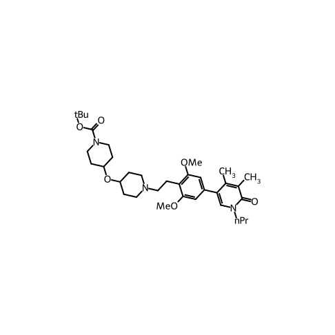 CCCn1cc(-c2cc(OC)c(CCN3CCC(OC4CCN(C(=O)OC(C)(C)C)CC4)CC3)c(OC)c2)c(C)c(C)c1=O